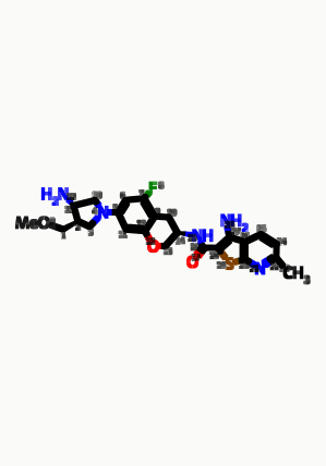 COC[C@@H]1CN(c2cc(F)c3c(c2)OC[C@H](NC(=O)c2sc4nc(C)ccc4c2N)C3)C[C@@H]1N